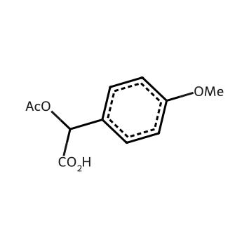 COc1ccc(C(OC(C)=O)C(=O)O)cc1